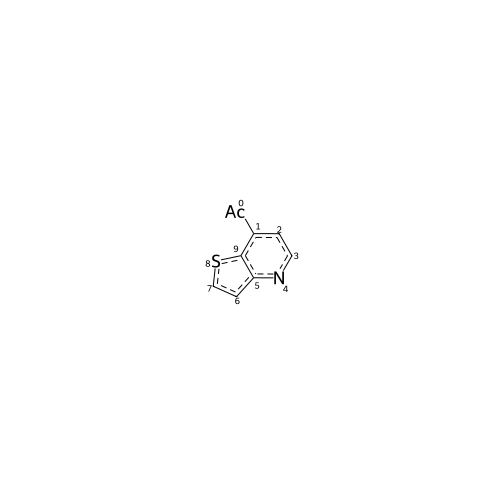 CC(=O)c1ccnc2ccsc12